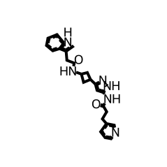 O=C(CCc1cccnc1)Nc1cc(C2CC(NC(=O)Cc3c[nH]c4ccccc34)C2)n[nH]1